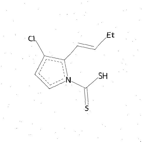 CCC=Cc1c(Cl)ccn1C(=S)S